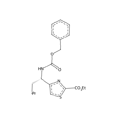 CCOC(=O)c1nc([C@H](CC(C)C)NC(=O)OCc2ccccc2)cs1